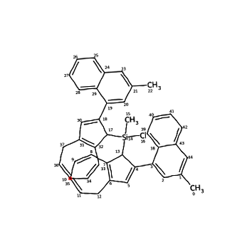 Cc1cc(C2=CC3=C(C=CC=CC3)C2[Si](C)(Cl)C2C(c3cc(C)cc4ccccc34)=CC3=C2C=CC=CC3)c2ccccc2c1